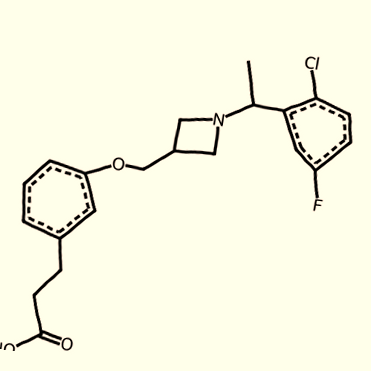 CC(c1cc(F)ccc1Cl)N1CC(COc2cccc(CCC(=O)O)c2)C1